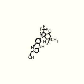 C#CCN1CCC(Nc2cc(-n3nc(C(F)(F)F)c4c3CC(C)(C)CC4=O)ccc2C#N)C1